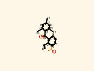 C=Cc1c(P=O)cccc1C(=O)c1c(C)cc(C)cc1C